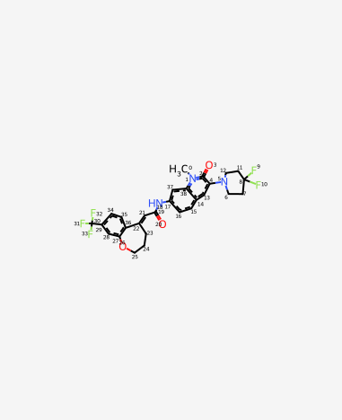 Cn1c(=O)c(N2CCC(F)(F)CC2)cc2ccc(NC(=O)/C=C3\CCCOc4cc(C(F)(F)F)ccc43)cc21